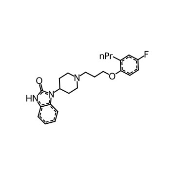 CCCc1cc(F)ccc1OCCCN1CCC(n2c(=O)[nH]c3ccccc32)CC1